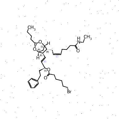 CCCCB1O[C@H]2C[C@@H](O1)[C@H](/C=C/[C@H](CCc1ccccc1)OC(=O)CCCCCBr)[C@H]2C/C=C\CCCC(=O)NCC